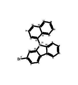 Brc1ccc2c3ccccc3n(-c3cccc4ccccc34)c2c1